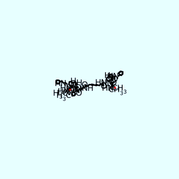 CC[C@H](NC)C(=O)N[C@@H]1C(=O)N2[C@@H](CC[C@@H]1CNC(=O)CCC#CC#CCCC(=O)NCCNC(=O)[C@@H](NC(=O)[C@@H]1CC[C@@H]3CC[C@H](CCNCc4ccccc4)[C@H](NC(=O)[C@H](CC)NC)C(=O)N31)c1ccccc1)CC[C@H]2C(=O)NCc1ccccc1